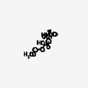 COc1cccc(-c2cccc(C(O)C(=O)N3CCc4nc(C5(c6ccccc6)CC5)[nH]c(=O)c4C3)c2)c1